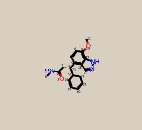 CNC(=O)C[C@H](c1ccc(OC)c2[nH]ncc12)C1C=CC=CC1